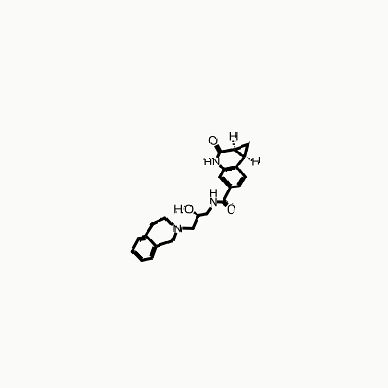 O=C(NC[C@H](O)CN1CCc2ccccc2C1)c1ccc2c(c1)NC(=O)[C@H]1C[C@@H]21